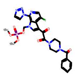 CC(C)(C)OP(=O)(OCn1cc(C(=O)C(=O)N2CCN(C(=O)c3ccccc3)CC2)c2c(F)cnc(-n3ccnn3)c21)OC(C)(C)C